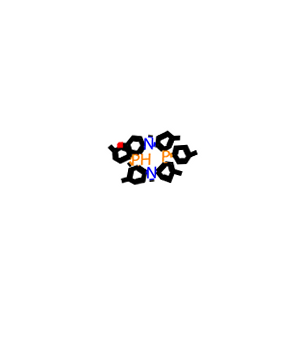 Cc1ccc(P2c3cc(C)ccc3N(C)c3ccc(C)cc3[PH](C)(c3ccc(C)cc3)c3cc(C)ccc3N(C)c3ccc(C)cc32)cc1